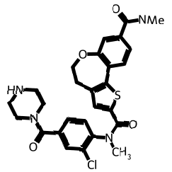 CNC(=O)c1ccc2c(c1)OCCc1cc(C(=O)N(C)c3ccc(C(=O)N4CCNCC4)cc3Cl)sc1-2